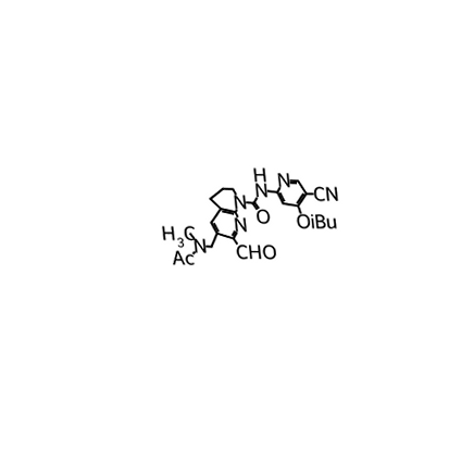 CC(=O)N(C)Cc1cc2c(nc1C=O)N(C(=O)Nc1cc(OCC(C)C)c(C#N)cn1)CCC2